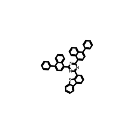 c1ccc(-c2ccc(-c3nc(-c4ccc(-c5ccccc5)c5ccccc45)nc(-c4cccc5c4sc4ccccc45)n3)c3ccccc23)cc1